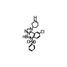 CCCCN(c1ccc(Cl)cc1-c1nncn1C1CCCNC1)S(=O)(=O)c1ccccc1